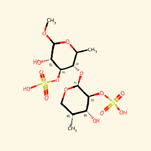 COC1OC(C)[C@H](O[C@@H]2OC[C@@H](C)[C@@H](O)[C@@H]2OS(=O)(=O)O)[C@@H](OS(=O)(=O)O)[C@@H]1O